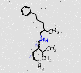 C/C=C\C(=C\NCC(C)CCCc1ccccc1)C(C)C